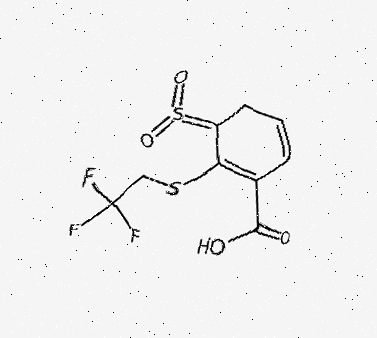 O=C(O)C1=C(SCC(F)(F)F)C(=S(=O)=O)CC=C1